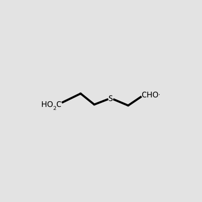 O=[C]CSCCC(=O)O